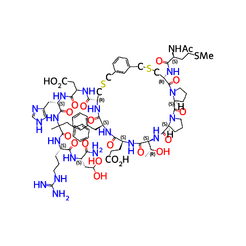 CSCC[C@H](NC(C)=O)C(=O)N[C@H]1CSCc2cccc(c2)CSC[C@@H](C(=O)NC(CC(=O)O)C(=O)N[C@@H](Cc2c[nH]cn2)C(=O)NC(C)(Cc2ccccc2)C(=O)N[C@@H](CCCNC(=N)N)C(=O)N[C@@H](CC(O)O)C(N)=O)NC(=O)[C@H](Cc2ccccc2)NC(=O)[C@H](CCC(=O)O)NC(=O)[C@H]([C@@H](C)O)NC(=O)[C@@H]2CCCN2C(=O)[C@@H]2CCCN2C1=O